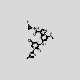 CNc1cc(Nc2cc(Cl)cn(-c3ncc(C)s3)c2=O)nc2c(C(=O)N[C@H]3C[C@H]3F)cnn12